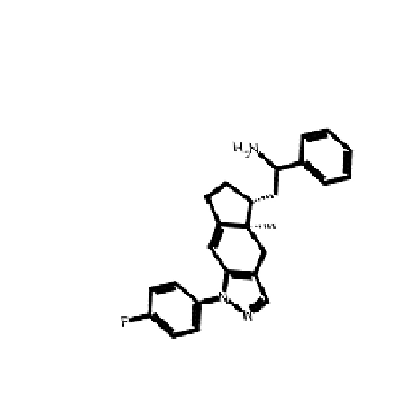 C[C@]12Cc3cnn(-c4ccc(F)cc4)c3C=C1CC[C@@H]2CC(N)c1ccccc1